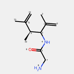 C=C(C)C(NC(=O)CN)[C@@H](C)C(=C)C